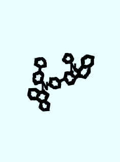 c1ccc(-c2cccc(N(c3ccc(-c4ccc5c6ccc7ccccc7c6n(-c6ccccc6)c5c4)cc3)c3cc4ccccc4c4ccccc34)c2)cc1